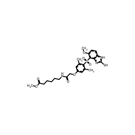 COC(=O)CCCCCNC(=O)COc1cc(C)c(S(=O)(=O)c2c(OC)ccc3[nH]c(S)nc23)c(C)c1